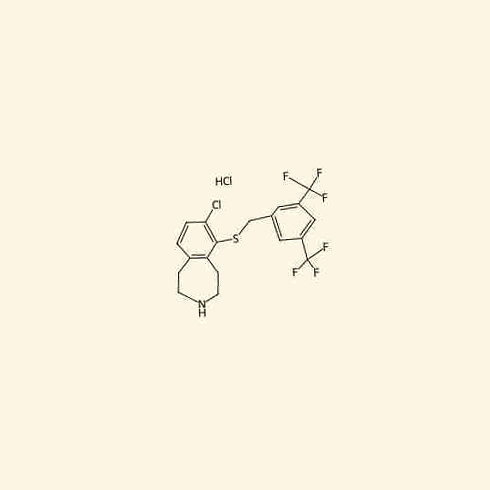 Cl.FC(F)(F)c1cc(CSc2c(Cl)ccc3c2CCNCC3)cc(C(F)(F)F)c1